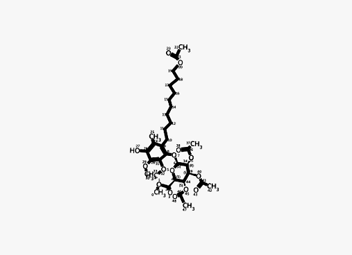 COC(=O)[C@H]1O[C@@H](Oc2c(CCCCCCCCCCOC(C)=O)c(C)c(O)c(OC)c2OC)[C@H](OC(C)=O)[C@@H](OC(C)=O)[C@@H]1OC(C)=O